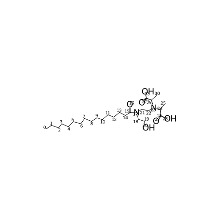 CCCCCCCCCCCCCCCC(=O)N(CCO)CCN(C(C)C(=O)O)C(C)C(=O)O